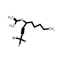 C=C(C)OC(C#CC(F)(F)Br)CCCCC